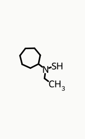 CCN(S)C1CCCCCC1